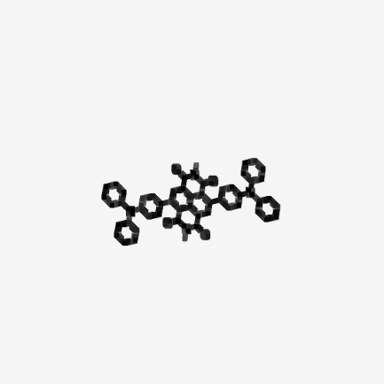 CN1C(=O)c2cc(-c3ccc(N(c4ccccc4)c4ccccc4)cc3)c3c4c(cc(-c5ccc(N(c6ccccc6)c6ccccc6)cc5)c(c24)C1=O)C(=O)N(C)C3=O